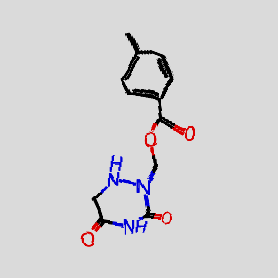 Cc1ccc(C(=O)OCN2NCC(=O)NC2=O)cc1